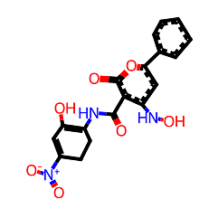 O=C(NC1=C(O)C=C([N+](=O)[O-])CC1)c1c(NO)cc(-c2ccccc2)oc1=O